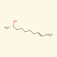 C[C@H](O)CCCCC/C=C/C(=O)O